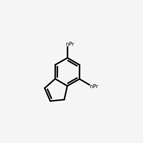 CCCc1cc2c(c(CCC)c1)CC=C2